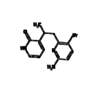 CC(C)c1ccc(N)nc1CC(C)c1ccc[nH]c1=O